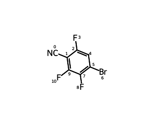 N#Cc1c(F)cc(Br)c(F)c1F